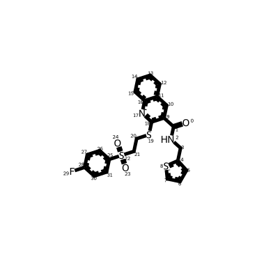 O=C(NCc1cccs1)c1cc2ccccc2nc1SCCS(=O)(=O)c1ccc(F)cc1